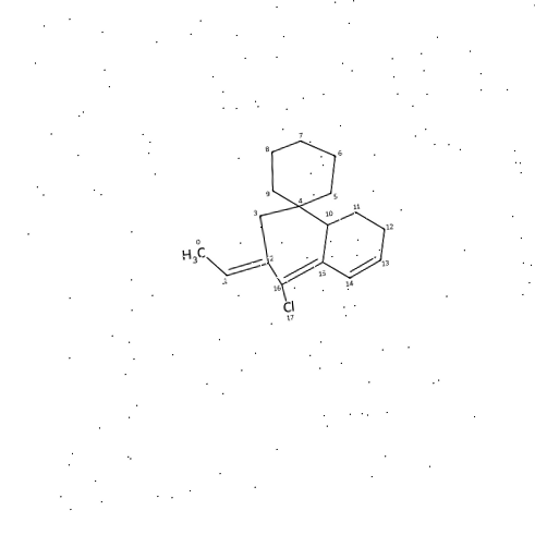 C/C=C1\CC2(CCCCC2)C2CCC=CC2=C1Cl